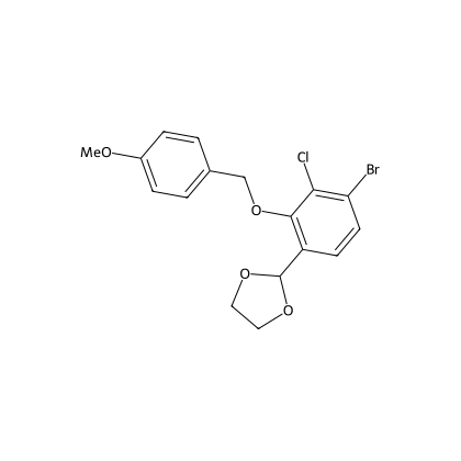 COc1ccc(COc2c(C3OCCO3)ccc(Br)c2Cl)cc1